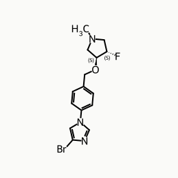 CN1C[C@H](OCc2ccc(-n3cnc(Br)c3)cc2)[C@@H](F)C1